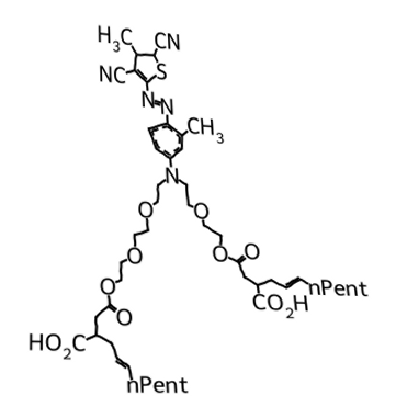 CCCCC/C=C/CC(CC(=O)OCCOCCOCCN(CCOCCOC(=O)CC(C/C=C/CCCCC)C(=O)O)c1ccc(/N=N/C2=C(C#N)C(C)C(C#N)S2)c(C)c1)C(=O)O